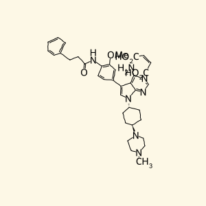 COc1cc(-c2cn([C@H]3CC[C@H](N4CCN(C)CC4)CC3)c3ncnc(N)c23)ccc1NC(=O)CCc1ccccc1.O=C(O)/C=C\C(=O)O